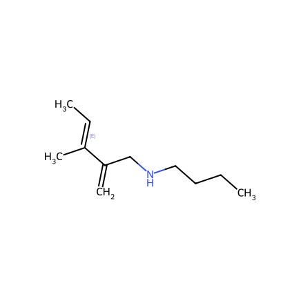 C=C(CNCCCC)/C(C)=C/C